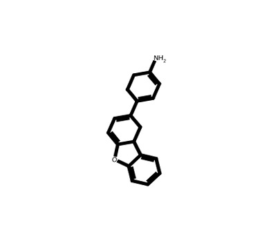 NC1=CC=C(C2=CC=C3Oc4ccccc4C3C2)CC1